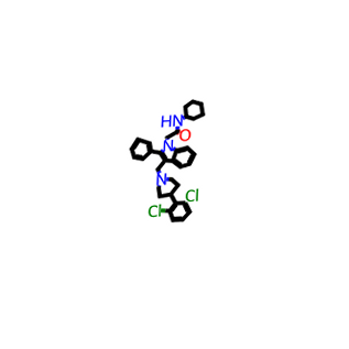 O=C(Cn1c(-c2ccccc2)c(CN2CCC(c3c(Cl)cccc3Cl)CC2)c2ccccc21)NC1CCCCC1